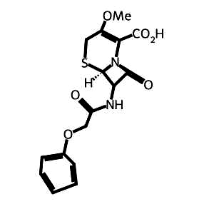 COC1=C(C(=O)O)N2C(=O)C(NC(=O)COc3ccccc3)[C@H]2SC1